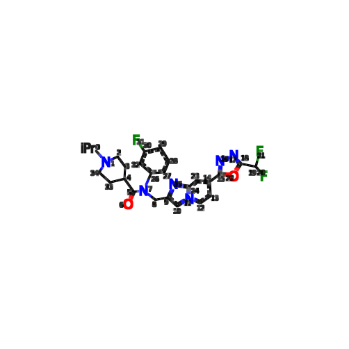 CC(C)N1CCC(C(=O)N(Cc2cn3ccc(-c4nnc(C(F)F)o4)cc3n2)c2cccc(F)c2)CC1